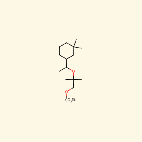 CCOC(=O)OCC(C)(C)OC(C)C1CCCC(C)(C)C1